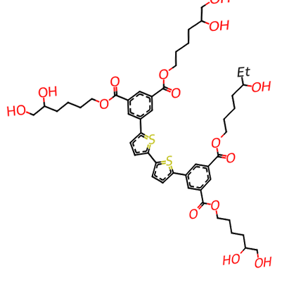 CCC(O)CCCCOC(=O)c1cc(C(=O)OCCCCC(O)CO)cc(-c2ccc(-c3ccc(-c4cc(C(=O)OCCCCC(O)CO)cc(C(=O)OCCCCC(O)CO)c4)s3)s2)c1